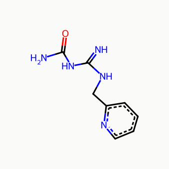 N=C(NCc1ccccn1)NC(N)=O